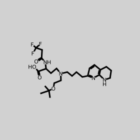 CC(C)(C)OCCN(CCCCc1ccc2c(n1)NCCC2)CCC(NC(=O)CC(F)(F)F)C(=O)O